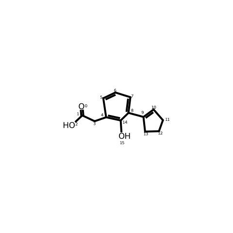 O=C(O)Cc1cccc(C2=CCCC2)c1O